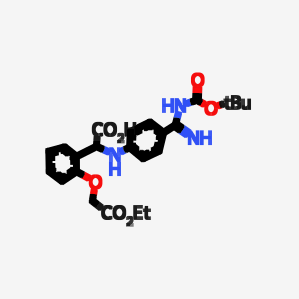 CCOC(=O)COc1ccccc1C(Nc1ccc(C(=N)NC(=O)OC(C)(C)C)cc1)C(=O)O